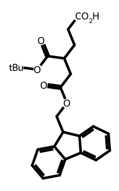 CC(C)(C)OC(=O)C(CCC(=O)O)CC(=O)OCC1c2ccccc2-c2ccccc21